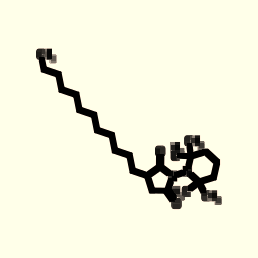 CCCCCCCCCCCCC1CC(=O)N(N2C(C)(C)CCCC2(C)C)C1=O